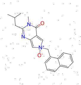 CC(C)Cc1nc2c(c(=O)n1C)=C[N+]([O-])(Cc1cccc3ccccc13)C=2